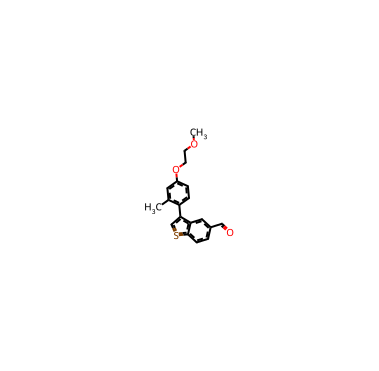 COCCOc1ccc(-c2csc3ccc(C=O)cc23)c(C)c1